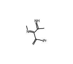 C=C(/C(=N/C)C(C)=N)C(C)C